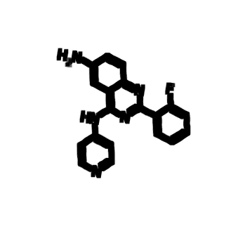 Nc1ccc2nc(-c3ccccc3F)nc(Nc3ccncc3)c2c1